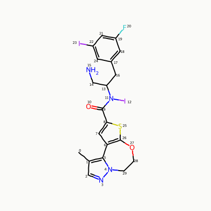 Cc1cnn2c1-c1cc(C(=O)N(I)C(CN)Cc3cc(F)cc(I)c3)sc1OCC2